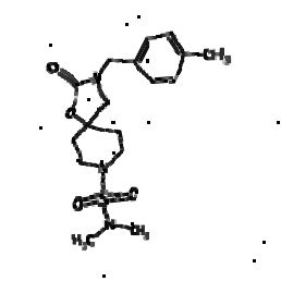 Cc1ccc(CN2CC3(CCN(S(=O)(=O)N(C)C)CC3)OC2=O)cc1